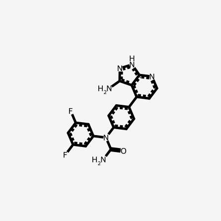 NC(=O)N(c1ccc(-c2ccnc3[nH]nc(N)c23)cc1)c1cc(F)cc(F)c1